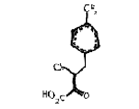 O=C(O)C(=O)C(Cl)Cc1ccc(C(F)(F)F)cc1